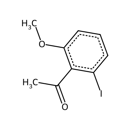 COc1cccc(I)c1C(C)=O